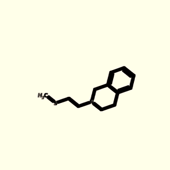 CSCCN1CCc2ccccc2C1